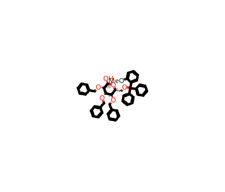 COc1ccccc1C(OC[C@H]1O[C@H](O)[C@@H](OCc2ccccc2)[C@@H](OCc2ccccc2)[C@@H]1OCc1ccccc1)(c1ccccc1)c1ccccc1